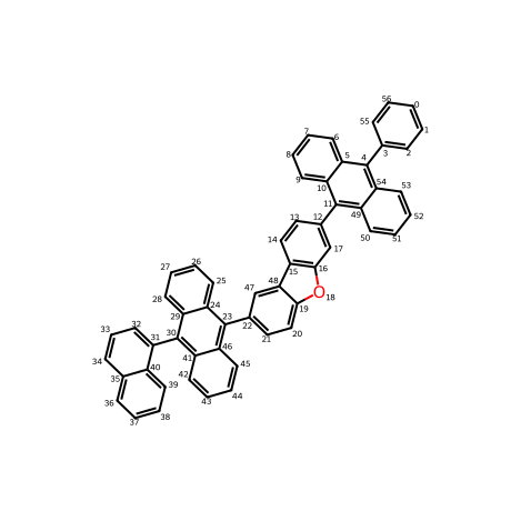 c1ccc(-c2c3ccccc3c(-c3ccc4c(c3)oc3ccc(-c5c6ccccc6c(-c6cccc7ccccc67)c6ccccc56)cc34)c3ccccc23)cc1